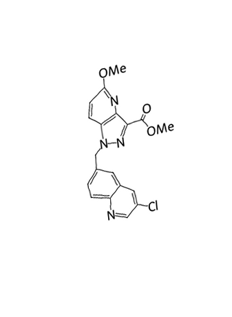 COC(=O)c1nn(Cc2ccc3ncc(Cl)cc3c2)c2ccc(OC)nc12